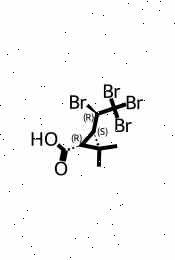 CC1(C)[C@@H]([C@@H](Br)C(Br)(Br)Br)[C@H]1C(=O)O